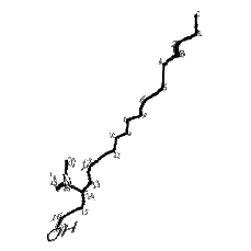 CCCCCCCCCCCCCC[C](CCO)N(C)C